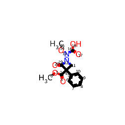 COC(=O)C1(c2ccccc2)CN(N(OC)C(=O)O)C1=O